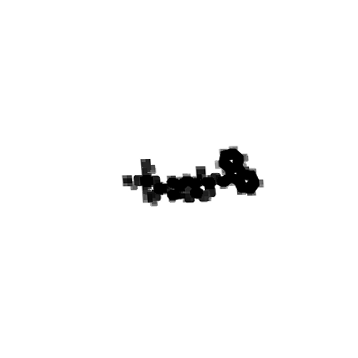 CC(C)(C)OC(=O)n1cnc(CC(NC(=O)OCC2c3ccccc3-c3ccccc32)C(=O)O)c1